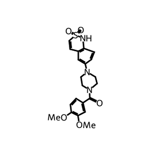 COc1ccc(C(=O)N2CCN(c3ccc4c(c3)C=CS(=O)(=O)N4)CC2)cc1OC